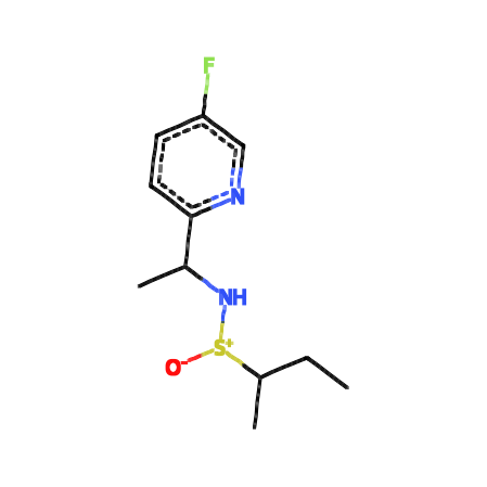 CCC(C)[S+]([O-])NC(C)c1ccc(F)cn1